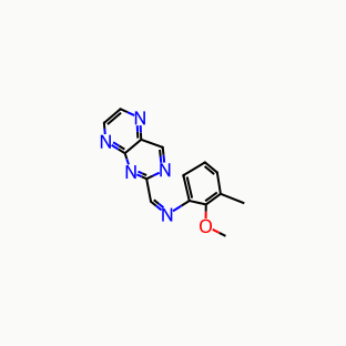 COc1c(C)cccc1/N=C\c1ncc2nccnc2n1